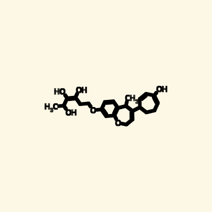 CC(O)/C(O)=C(/O)CCOc1ccc2c(c1)OCC=C(C1C=CC(O)=CCC1)C2C